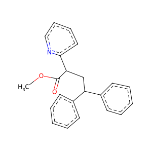 COC(=O)C(CC(c1ccccc1)c1ccccc1)c1ccccn1